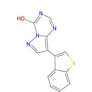 Oc1ncnc2c(-c3csc4ccccc34)cnn12